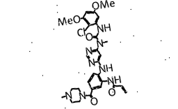 C=CC(=O)Nc1cc(C(=O)N2CCN(C)CC2)ccc1Nc1cc(N(C)C(=O)Nc2cc(OC)cc(OC)c2Cl)ncn1